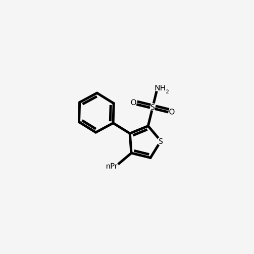 CCCc1csc(S(N)(=O)=O)c1-c1ccccc1